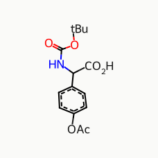 CC(=O)Oc1ccc(C(NC(=O)OC(C)(C)C)C(=O)O)cc1